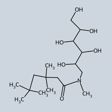 CN(CC(O)C(O)C(O)C(O)CO)C(=O)CC(C)(C)CC(C)(C)C